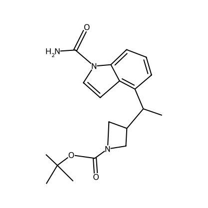 CC(c1cccc2c1ccn2C(N)=O)C1CN(C(=O)OC(C)(C)C)C1